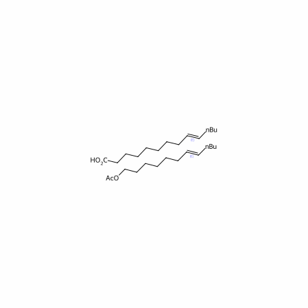 CCCC/C=C/CCCCCCCC(=O)O.CCCC/C=C/CCCCCCOC(C)=O